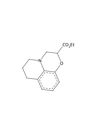 CCOC(=O)C1CN2CCCc3cccc(c32)O1